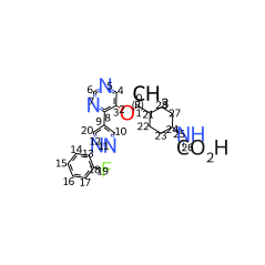 C[C@@H](Oc1cncnc1-c1cnn(-c2ccccc2F)c1)C1CCC(NC(=O)O)CC1